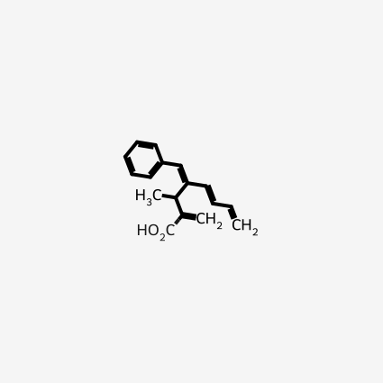 C=CC=CC(=Cc1ccccc1)C(C)C(=C)C(=O)O